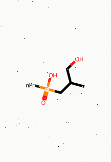 CCCP(=O)(O)CC(C)CO